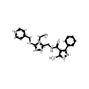 Cc1onc(-c2ccccc2)c1C(=O)NCc1nnc(SCc2ccncc2)n1CC(C)C